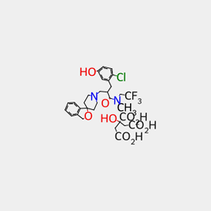 CN(CC(F)(F)F)C(=O)C(Cc1cc(O)ccc1Cl)CN1CCC2(CC1)OCc1ccccc12.O=C(O)CC(O)(CC(=O)O)C(=O)O